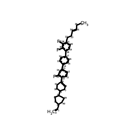 C=CC1CCC(C2CC=C(c3ccc(-c4ccc(-c5ccc(CC/C=C/CC)c(F)c5F)cc4)cc3F)CC2)CC1